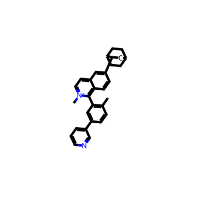 Cc1ccc(-c2cccnc2)cc1-c1c2ccc(C3CC4CCC3CC4)cc2cc[n+]1C